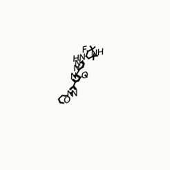 COc1cc(-c2cnn(C3CCCCO3)c2)cnc1-c1ccc(N[C@H]2CC(C)(C)NC(C)(C)[C@H]2F)nn1